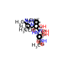 Cc1cc(CNC2(CCC(C)(C)C)C(=O)C(C3=NS(O)(O)c4cc(NS(C)(=O)=O)ccc4N3)=C(O)c3ccccc32)n(C)n1